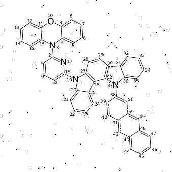 c1cc(N2c3ccccc3Oc3ccccc32)nc(-n2c3ccccc3c3c2ccc2c4ccccc4n(-c4ccc5cc6ccccc6cc5c4)c23)c1